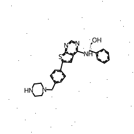 OC[C@@H](Nc1ncnc2sc(-c3ccc(CN4CCNCC4)cc3)cc12)c1ccccc1